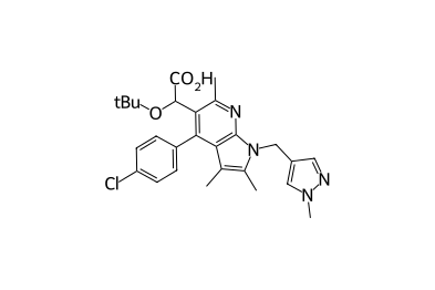 Cc1nc2c(c(C)c(C)n2Cc2cnn(C)c2)c(-c2ccc(Cl)cc2)c1C(OC(C)(C)C)C(=O)O